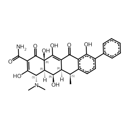 C[C@@H]1c2ccc(-c3ccccc3)c(O)c2C(=O)C2=C(O)[C@@]3(O)C(=O)C(C(N)=O)=C(O)[C@@H](N(C)C)[C@@H]3[C@H](O)[C@@H]21